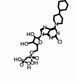 O=P(O)(O)CP(=O)(O)OCC1OC(n2cnc3c(N4CCC(C5CCCCC5)CC4)nc(Cl)nc32)C(O)C1O